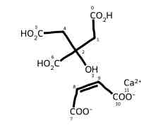 O=C(O)CC(O)(CC(=O)O)C(=O)O.O=C([O-])/C=C\C(=O)[O-].[Ca+2]